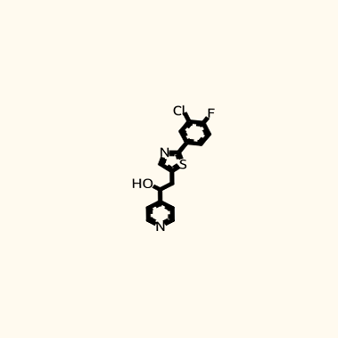 OC(Cc1cnc(-c2ccc(F)c(Cl)c2)s1)c1ccncc1